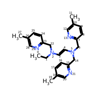 CCN(C=CN(Cc1ccc(C)cn1)Cc1ccc(C)cn1)Cc1ccc(C)cn1